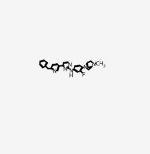 CN1CC2CC1CN2c1ccc(Nc2nccc(-c3ccc(Cc4ccccc4)nc3)n2)cc1F